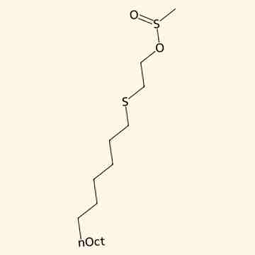 CCCCCCCCCCCCCCSCCOS(C)=O